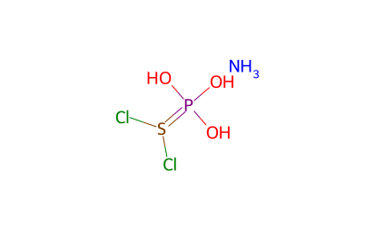 N.OP(O)(O)=S(Cl)Cl